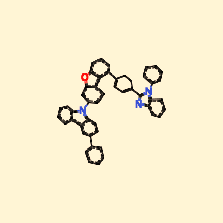 C1=C(c2cccc3oc4cc(-n5c6ccccc6c6cc(-c7ccccc7)ccc65)ccc4c23)CCC(c2nc3ccccc3n2-c2ccccc2)=C1